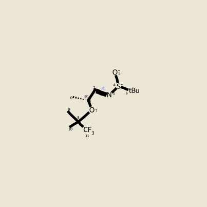 C[C@H](/C=N/[S+]([O-])C(C)(C)C)OC(C)(C)C(F)(F)F